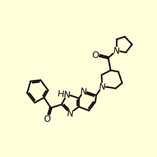 O=C(c1ccccc1)c1nc2ccc(N3CCCC(C(=O)N4CCCC4)C3)nc2[nH]1